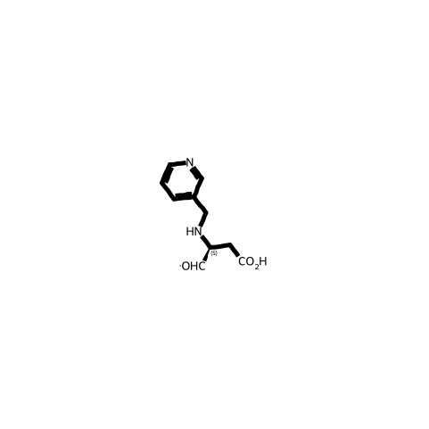 O=[C][C@H](CC(=O)O)NCc1cccnc1